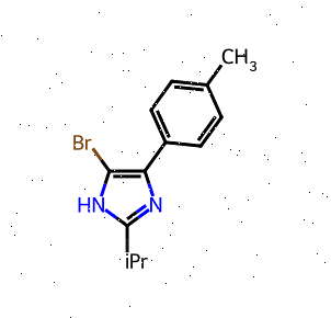 Cc1ccc(-c2nc(C(C)C)[nH]c2Br)cc1